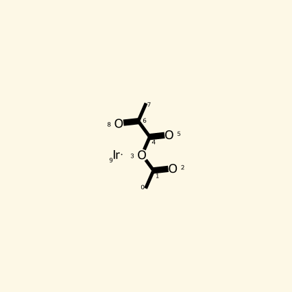 CC(=O)OC(=O)C(C)=O.[Ir]